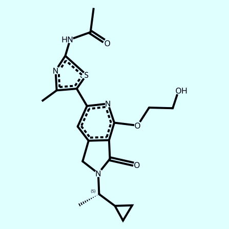 CC(=O)Nc1nc(C)c(-c2cc3c(c(OCCO)n2)C(=O)N([C@@H](C)C2CC2)C3)s1